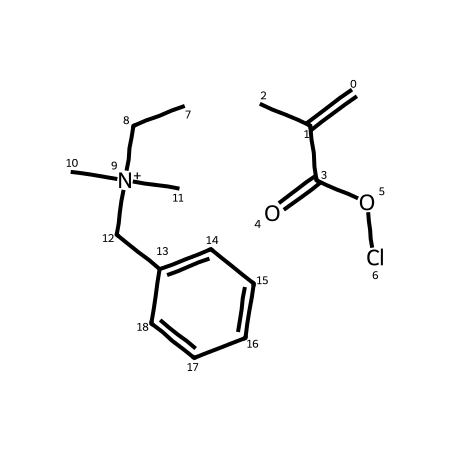 C=C(C)C(=O)OCl.CC[N+](C)(C)Cc1ccccc1